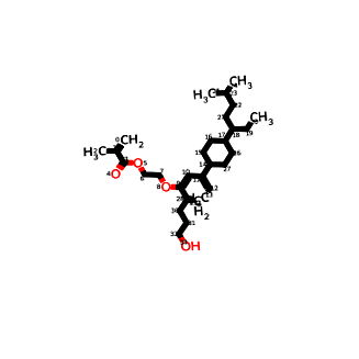 C=C(C)C(=O)OCCO/C(=C/C(=C\C)C1CCC(C(CC)CCC(C)C)CC1)C(=C)CCCO